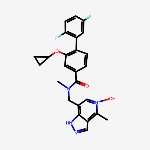 Cc1c2cn[nH]c2c(CN(C)C(=O)c2ccc(-c3cc(F)ccc3F)c(OC3CC3)c2)c[n+]1O